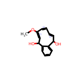 COC1=C\C(O)c2ccccc2C(O)/C=C/C=C\1